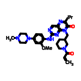 C=CC(=O)N1CCCC(Cn2c(=O)c(C(C)C)nc3cnc(Nc4ccc(N5CCN(C)CC5)cc4OC)nc32)C1